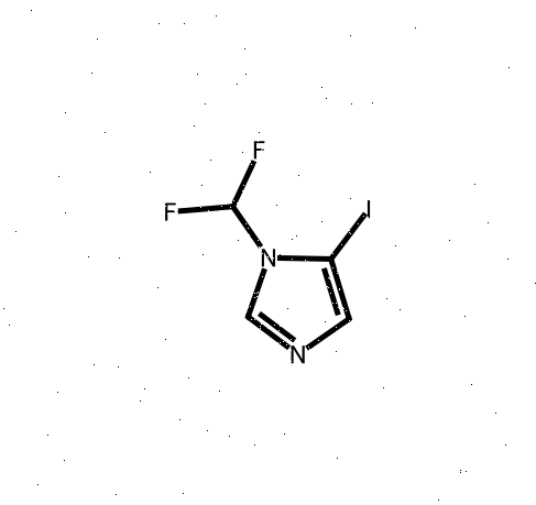 FC(F)n1cncc1I